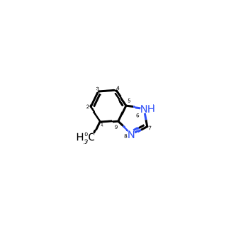 CC1C=CC=C2NC=NC21